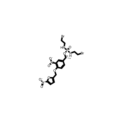 C[C@@H](OP(=O)(NCCBr)NCCBr)c1ccc(OCc2ccc([N+](=O)[O-])o2)c([N+](=O)[O-])c1